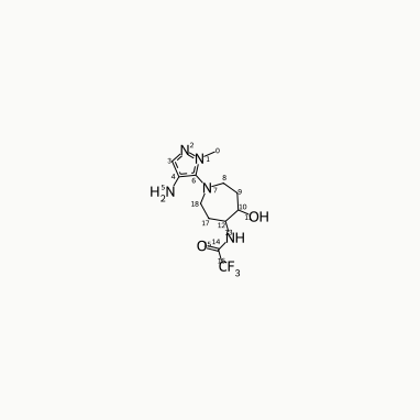 Cn1ncc(N)c1N1CCC(O)C(NC(=O)C(F)(F)F)CC1